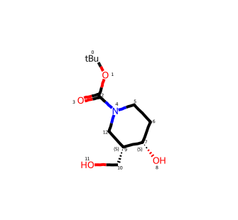 CC(C)(C)OC(=O)N1CC[C@H](O)[C@H](CO)C1